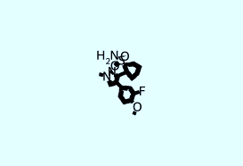 COc1ccc(-c2cn(C)nc2-c2ccccc2S(N)(=O)=O)cc1F